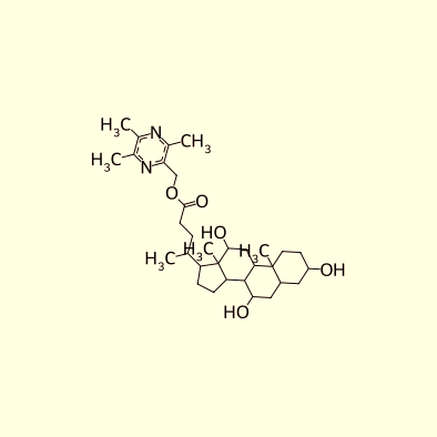 Cc1nc(C)c(COC(=O)CCC(C)C2CCC3C4C(O)CC5CC(O)CCC5(C)C4CC(O)C23C)nc1C